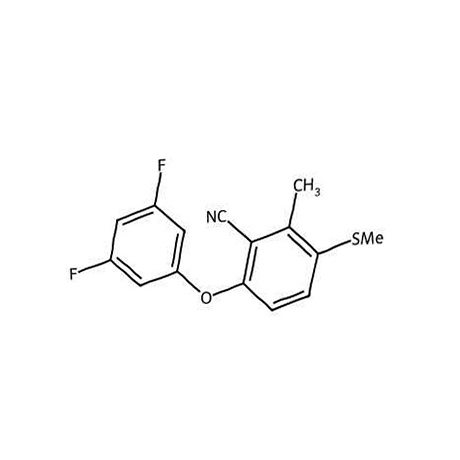 CSc1ccc(Oc2cc(F)cc(F)c2)c(C#N)c1C